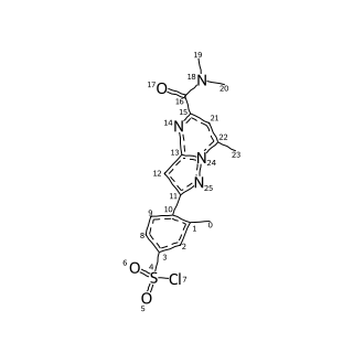 Cc1cc(S(=O)(=O)Cl)ccc1-c1cc2nc(C(=O)N(C)C)cc(C)n2n1